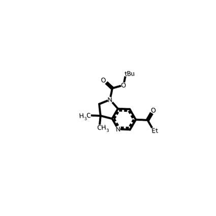 CCC(=O)c1cnc2c(c1)N(C(=O)OC(C)(C)C)CC2(C)C